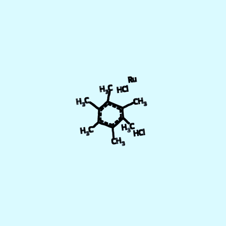 Cc1c(C)c(C)c(C)c(C)c1C.Cl.Cl.[Ru]